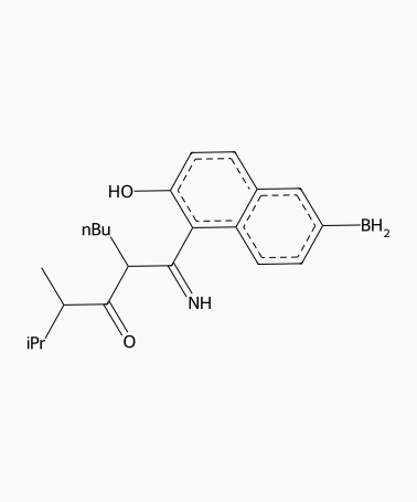 Bc1ccc2c(C(=N)C(CCCC)C(=O)C(C)C(C)C)c(O)ccc2c1